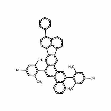 Cc1cc(C#N)cc(C)c1-c1cc2c3cc4c(cc3c(-c3c(C)cc(C#N)cc3C)cc2c2ccccc12)-c1ccc(-c2ccccn2)c2cccc-4c12